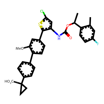 COc1cc(-c2sc(Cl)cc2NC(=O)OC(C)c2ccc(F)cc2C)ccc1-c1ccc(C2(C(=O)O)CC2)cc1